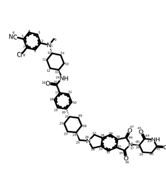 CN(c1ccc(C#N)c(Cl)c1)[C@H]1CC[C@H](NC(=O)c2ccc([C@H]3CC[C@H](CN4Cc5cc6c(cc5C4)C(=O)N([C@@H]4CCC(=O)NC4=O)C6=O)CC3)cc2)CC1